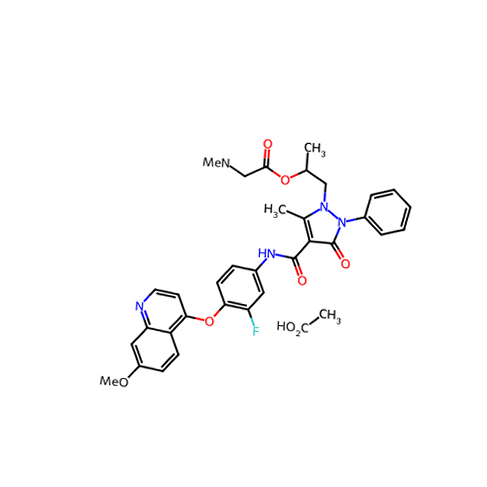 CC(=O)O.CNCC(=O)OC(C)Cn1c(C)c(C(=O)Nc2ccc(Oc3ccnc4cc(OC)ccc34)c(F)c2)c(=O)n1-c1ccccc1